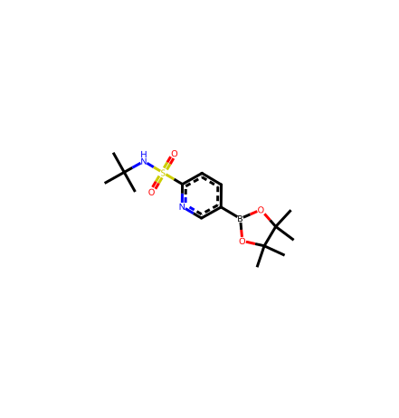 CC(C)(C)NS(=O)(=O)c1ccc(B2OC(C)(C)C(C)(C)O2)cn1